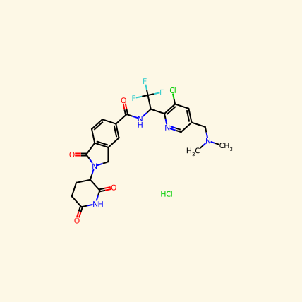 CN(C)Cc1cnc(C(NC(=O)c2ccc3c(c2)CN(C2CCC(=O)NC2=O)C3=O)C(F)(F)F)c(Cl)c1.Cl